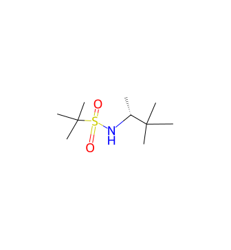 C[C@@H](NS(=O)(=O)C(C)(C)C)C(C)(C)C